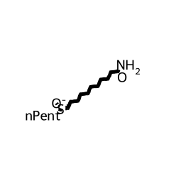 CCCCC[S+]([O-])CCCCCCCCCCC(N)=O